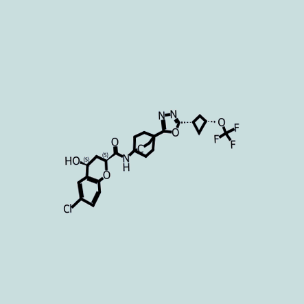 O=C(NC12CCC(c3nnc([C@H]4C[C@@H](OC(F)(F)F)C4)o3)(CC1)CC2)[C@@H]1C[C@H](O)c2cc(Cl)ccc2O1